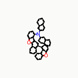 c1ccc2cc(N(c3ccc4ccccc4c3)c3cccc4oc5c6ccccc6c(-c6cccc7oc8ccccc8c67)cc5c34)ccc2c1